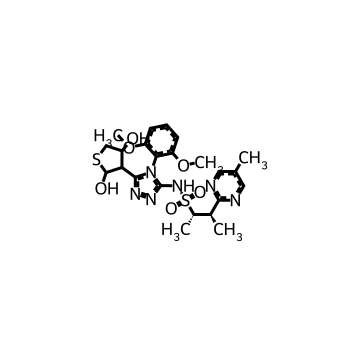 COc1cccc(OC)c1-n1c(NS(=O)(=O)[C@@H](C)[C@H](C)c2ncc(C)cn2)nnc1C1C(O)CSC1O